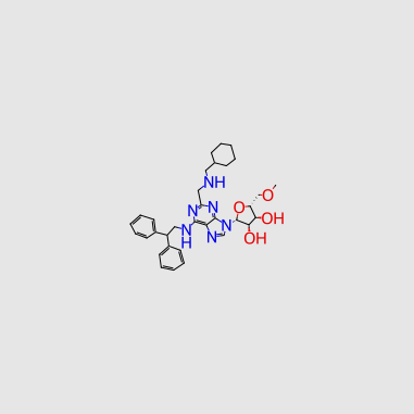 COC[C@H]1O[C@@H](n2cnc3c(NCC(c4ccccc4)c4ccccc4)nc(CNCC4CCCCC4)nc32)[C@H](O)[C@@H]1O